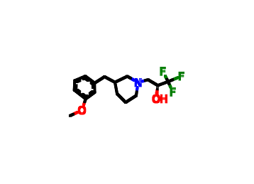 COc1cccc(CC2CCCN(C[C@H](O)C(F)(F)F)C2)c1